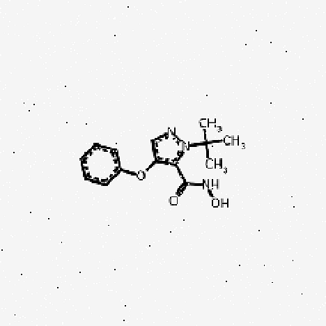 CC(C)(C)n1ncc(Oc2ccccc2)c1C(=O)NO